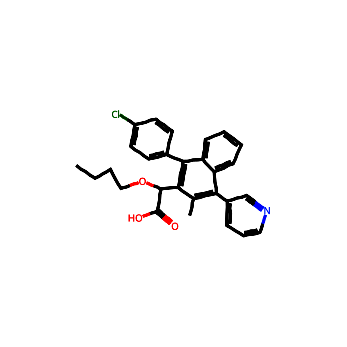 CCCCOC(C(=O)O)c1c(C)c(-c2cccnc2)c2ccccc2c1-c1ccc(Cl)cc1